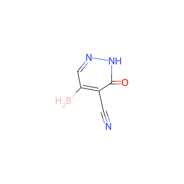 Bc1cn[nH]c(=O)c1C#N